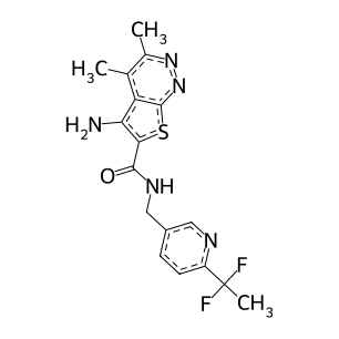 Cc1nnc2sc(C(=O)NCc3ccc(C(C)(F)F)nc3)c(N)c2c1C